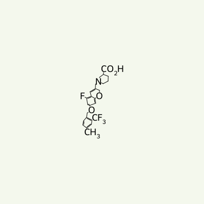 Cc1ccc(COc2cc(F)c3c(c2)OCC(CN2CCCC(C(=O)O)C2)=C3)c(C(F)(F)F)c1